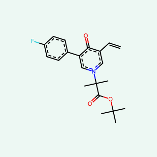 C=Cc1cn(C(C)(C)C(=O)OC(C)(C)C)cc(-c2ccc(F)cc2)c1=O